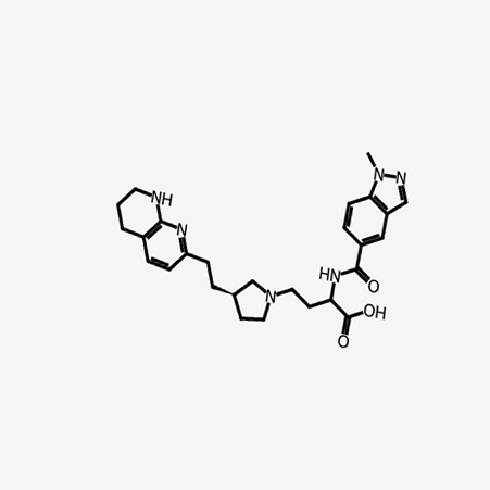 Cn1ncc2cc(C(=O)NC(CCN3CC[C@@H](CCc4ccc5c(n4)NCCC5)C3)C(=O)O)ccc21